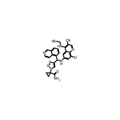 CC(C)(C)CNc1c(C#N)cnc2c(Cl)cc(NC(c3cn(C4(C(N)=O)CC4)nn3)c3cccc4cnccc34)cc12